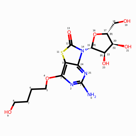 Nc1nc(OCCCCO)c2sc(=O)n([C@@H]3O[C@H](CO)[C@@H](O)[C@H]3O)c2n1